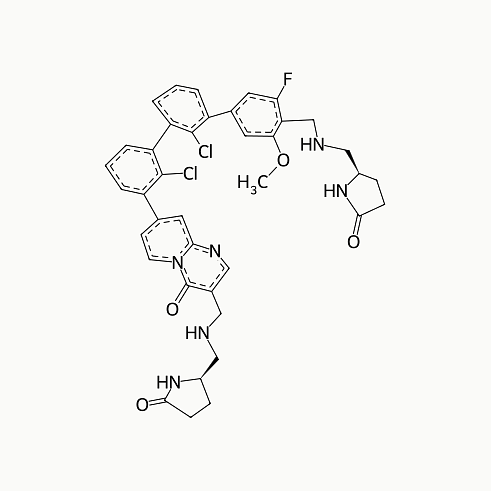 COc1cc(-c2cccc(-c3cccc(-c4ccn5c(=O)c(CNC[C@H]6CCC(=O)N6)cnc5c4)c3Cl)c2Cl)cc(F)c1CNC[C@H]1CCC(=O)N1